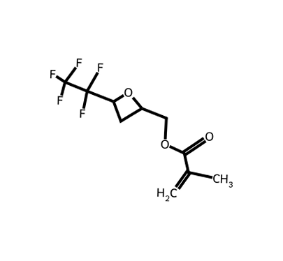 C=C(C)C(=O)OCC1CC(C(F)(F)C(F)(F)F)O1